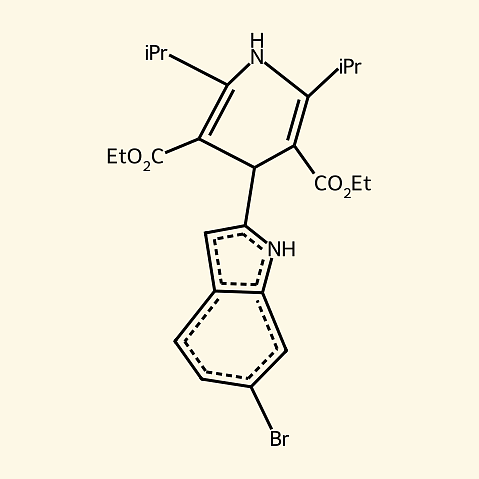 CCOC(=O)C1=C(C(C)C)NC(C(C)C)=C(C(=O)OCC)C1c1cc2ccc(Br)cc2[nH]1